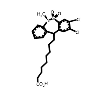 CN1c2ccccc2C(CCCCCCCCC(=O)O)c2cc(Cl)c(Cl)cc2S1(=O)=O